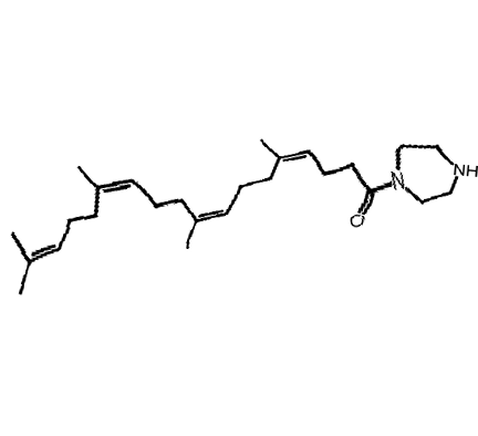 CC(C)=CCCC(C)=CCCC(C)=CCCC(C)=CCCC(=O)N1CCNCC1